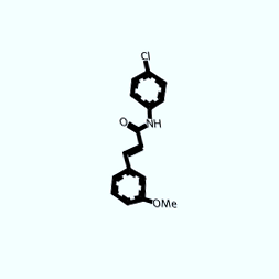 COc1cccc(C=CC(=O)Nc2ccc(Cl)cc2)c1